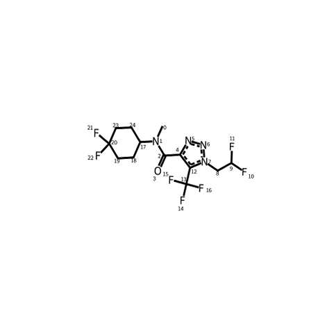 CN(C(=O)c1nnn(CC(F)F)c1C(F)(F)F)C1CCC(F)(F)CC1